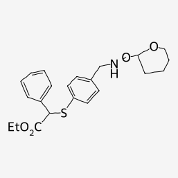 CCOC(=O)C(Sc1ccc(CNOC2CCCCO2)cc1)c1ccccc1